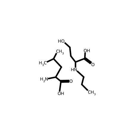 CC(C)CC(N)C(=O)O.CCCNC(CCO)C(=O)O